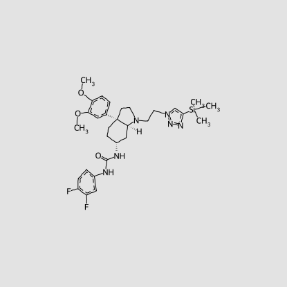 COc1ccc([C@@]23CC[C@@H](NC(=O)Nc4ccc(F)c(F)c4)C[C@@H]2N(CCn2cc([Si](C)(C)C)nn2)CC3)cc1OC